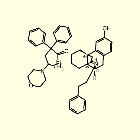 CCC(=O)C(CC(C)N1CCOCC1)(c1ccccc1)c1ccccc1.Oc1ccc2c(c1)[C@@]13CCCC[C@H]1[C@@H](C2)N(CCc1ccccc1)CC3